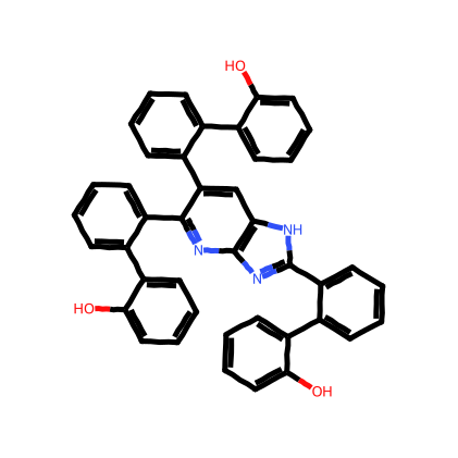 Oc1ccccc1-c1ccccc1-c1nc2nc(-c3ccccc3-c3ccccc3O)c(-c3ccccc3-c3ccccc3O)cc2[nH]1